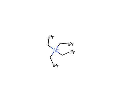 CC(C)C[N+](CC(C)C)(CC(C)C)CC(C)C